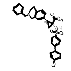 O=C(O)[C@@]1(NS(=O)(=O)c2ccc(-c3ccc(Cl)cc3)cc2)C[C@H]1c1ccc2c(c1)CN(Cc1ccccc1)CC2